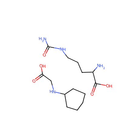 NC(=O)NCCCC(N)C(=O)O.O=C(O)CNC1CCCCC1